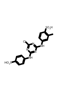 Cc1cc(Nc2nc(Cl)nc(Nc3ccc(S(=O)(=O)O)cc3)n2)ccc1S(=O)(=O)O